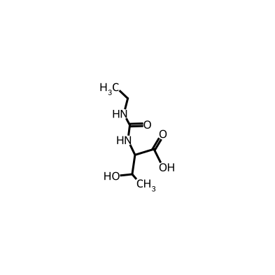 CCNC(=O)NC(C(=O)O)C(C)O